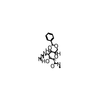 C=NC(=O)[C@@H]1O[C@@H]2COC(c3ccccc3)O[C@@H]2C(N=[N+]=[N-])[C@H]1O